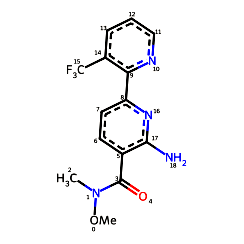 CON(C)C(=O)c1ccc(-c2ncccc2C(F)(F)F)nc1N